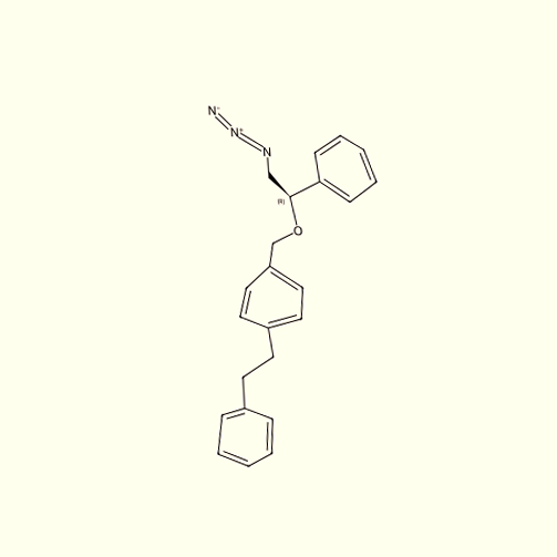 [N-]=[N+]=NC[C@H](OCc1ccc(CCc2ccccc2)cc1)c1ccccc1